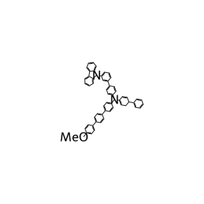 COc1ccc(-c2ccc(-c3ccc(N(C4=CCC(c5ccccc5)C=C4)c4ccc(-c5cccc(-n6c7ccccc7c7ccccc76)c5)cc4)cc3)cc2)cc1